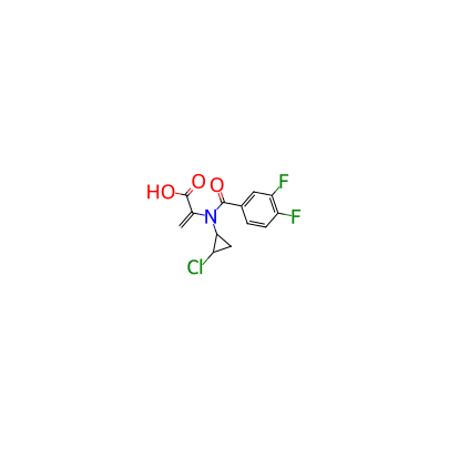 C=C(C(=O)O)N(C(=O)c1ccc(F)c(F)c1)C1CC1Cl